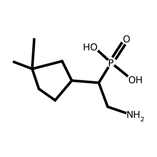 CC1(C)CCC(C(CN)P(=O)(O)O)C1